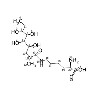 CC[C@@H](O)[C@@H](O)[C@H](O)[C@@H](O)CN(C)C(=O)NCCCC[C@@H](N)C(=O)O